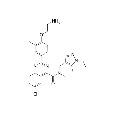 CCn1ncc(CN(C)C(=O)c2nc(-c3ccc(OCCN)c(C)c3)nc3ccc(Cl)cc23)c1C